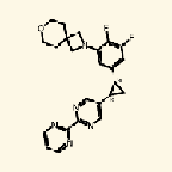 Fc1cc([C@@H]2C[C@H]2c2cnc(-c3ncccn3)nc2)cc(N2CC3(CCOCC3)C2)c1F